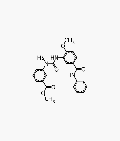 COC(=O)c1cccc(N(S)C(=O)Nc2cc(C(=O)Nc3ccccc3)ccc2OC)c1